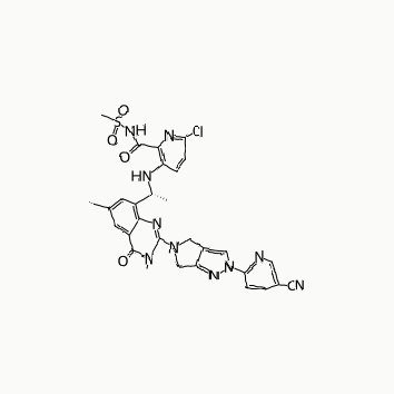 Cc1cc([C@@H](C)Nc2ccc(Cl)nc2C(=O)NS(C)(=O)=O)c2nc(N3Cc4cn(-c5ccc(C#N)cn5)nc4C3)n(C)c(=O)c2c1